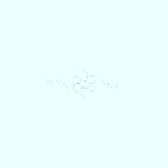 N#Cc1cc2c3c(ccc4c5c(C#N)cc6c7c(ccc(c1c34)c75)C(=O)N(CN)C6=O)C(=O)N(CN)C2=O